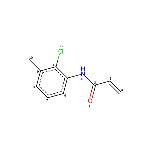 C=CC(=O)Nc1cccc(C)c1Cl